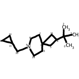 CC(C)(C)C1CC2(CCN(CC3CC3)CC2)C1